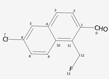 O=Cc1ccc2cc(Cl)ccc2c1CF